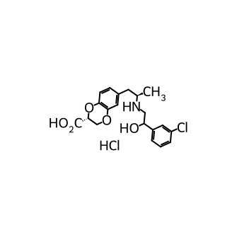 C[C@H](Cc1ccc2c(c1)OC[C@H](C(=O)O)O2)NCC(O)c1cccc(Cl)c1.Cl